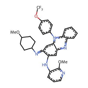 COc1ncccc1Nc1cc2nc3ccccc3n(-c3ccc(OC(F)(F)F)cc3)c-2c/c1=N\C1CCC(OC)CC1